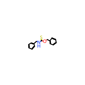 S=C(NCc1ccccc1)OCc1ccccc1